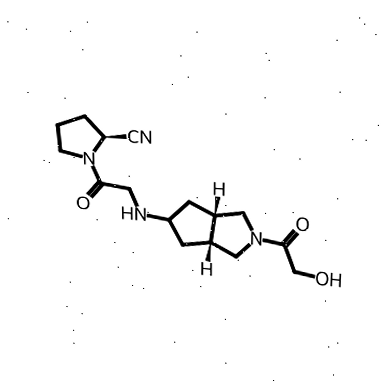 N#C[C@@H]1CCCN1C(=O)CNC1C[C@@H]2CN(C(=O)CO)C[C@@H]2C1